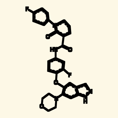 O=C(Nc1ccc(Oc2cc3cn[nH]c3cc2N2CCOCC2)c(F)c1)c1cccn(-c2ccc(F)cc2)c1=O